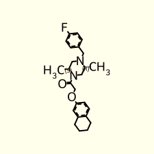 C[C@@H]1CN(C(=O)COc2ccc3c(c2)CCCC3)[C@@H](C)CN1Cc1ccc(F)cc1